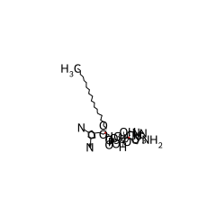 CCCCCCCCCCCCCCCCCCOC[C@H](COP(=O)(O)OC1[C@H]2O[C@@](C)(c3ccc4c(N)ncnn34)[C@H](O)[C@@]12O)OCc1cc(C#N)cc(C#N)c1